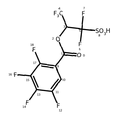 O=C(OC(C(F)(F)F)C(F)(F)S(=O)(=O)O)c1cc(F)c(F)c(F)c1F